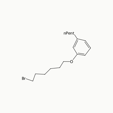 CCCCCc1cccc(OCCCCCCBr)c1